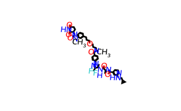 CN(CCCOCCCc1ccc2c(c1)n(C)c(=O)n2C1CCC(=O)NC1=O)C(=O)c1ccc(-n2cc(NC(=O)c3coc(-c4ccnc(NCC5CC5)c4)n3)c(C(F)F)n2)cc1